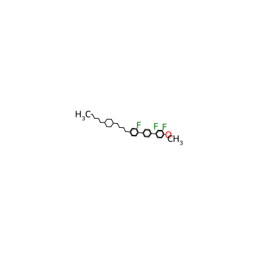 CCCCCC1CCC(CCCCc2ccc(-c3ccc(-c4ccc(OC)c(F)c4F)cc3)c(F)c2)CC1